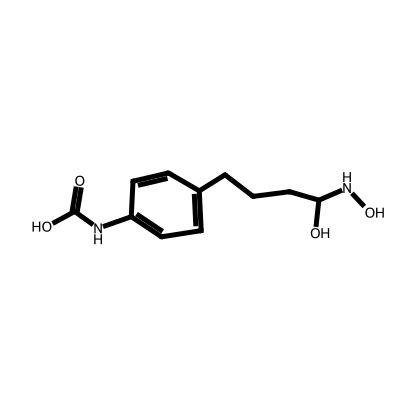 O=C(O)Nc1ccc(CCCC(O)NO)cc1